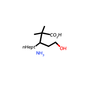 CCCCCCCC(CCO)C(C)(C)C(=O)O.N